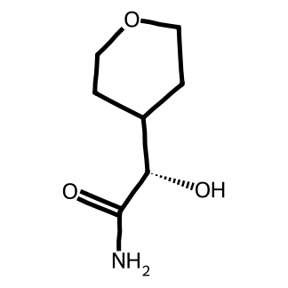 NC(=O)[C@@H](O)C1CCOCC1